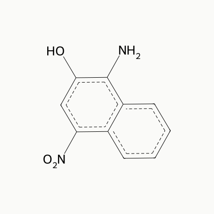 Nc1c(O)cc([N+](=O)[O-])c2ccccc12